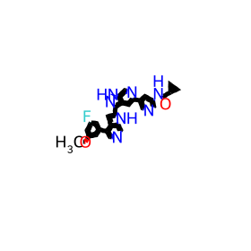 COc1cc(F)cc(-c2cncc3[nH]c(-c4n[nH]c5cnc(-c6cncc(NC(=O)C7CC7)c6)cc45)cc23)c1